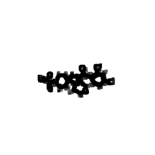 CCS(=O)(=O)N1CCC(CNC(=O)c2ccc(Cl)cc2Cl)(N2CCOCC2)CC1